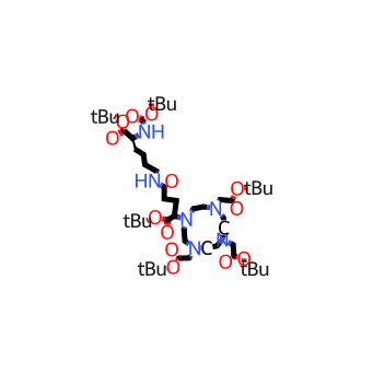 CC(C)(C)OC(=O)CN1CCN(CC(=O)OC(C)(C)C)CCN(C(CCC(=O)NCCCC[C@H](NC(=O)OC(C)(C)C)C(=O)OC(C)(C)C)C(=O)OC(C)(C)C)CCN(CC(=O)OC(C)(C)C)CC1